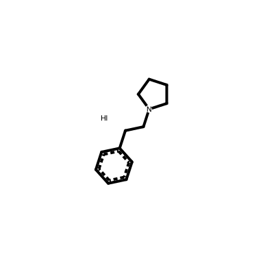 I.c1ccc(CCN2CCCC2)cc1